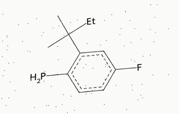 CCC(C)(C)c1cc(F)ccc1P